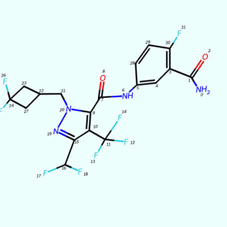 NC(=O)c1cc(NC(=O)c2c(C(F)(F)F)c(C(F)F)nn2CC2CC(F)(F)C2)ccc1F